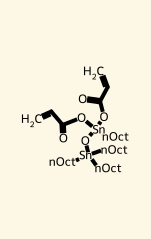 C=CC(=O)[O][Sn]([CH2]CCCCCCC)([O]C(=O)C=C)[O][Sn]([CH2]CCCCCCC)([CH2]CCCCCCC)[CH2]CCCCCCC